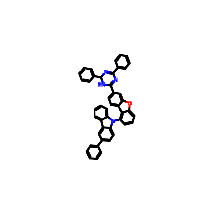 c1ccc(C2=NC(c3ccccc3)NC(c3ccc4c(c3)oc3cccc(-n5c6ccccc6c6cc(-c7ccccc7)ccc65)c34)=N2)cc1